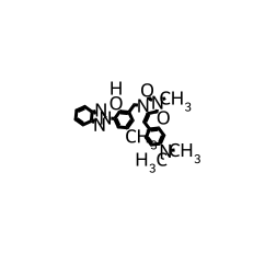 Cc1cc(CN2C(=O)N(C)C(=O)C2=Cc2ccc(N(C)C)cc2)c(O)c(-n2nc3ccccc3n2)c1